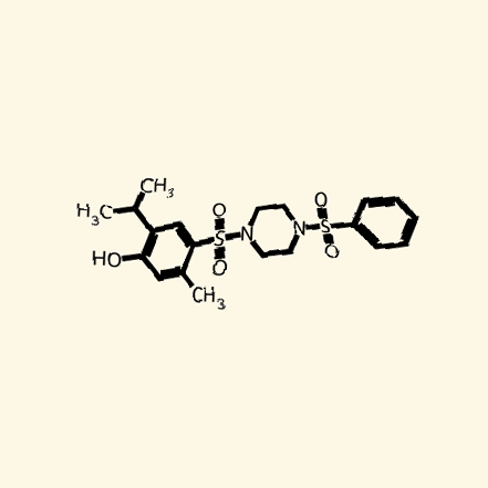 Cc1cc(O)c(C(C)C)cc1S(=O)(=O)N1CCN(S(=O)(=O)c2ccccc2)CC1